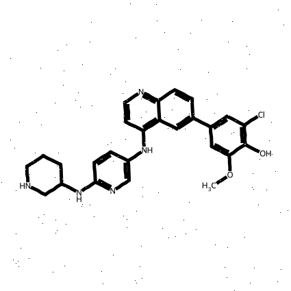 COc1cc(-c2ccc3nc[c]c(Nc4ccc(NC5CCCNC5)nc4)c3c2)cc(Cl)c1O